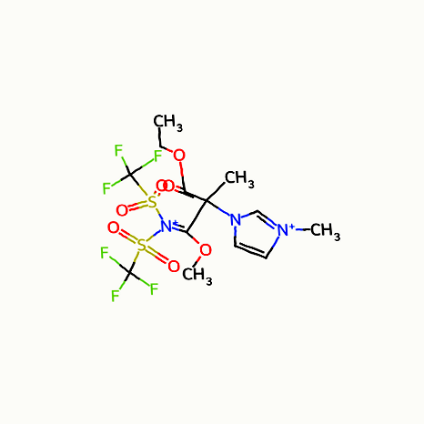 CCOC(=O)C(C)(C(OC)=[N+](S(=O)(=O)C(F)(F)F)S(=O)(=O)C(F)(F)F)n1cc[n+](C)c1